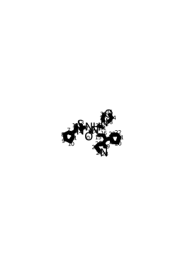 O=C(Nc1nc(-c2ccccc2)cs1)N(CCC(c1ccccc1)c1cccnc1)CCN1CCOCC1